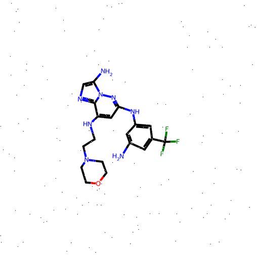 Nc1cc(Nc2cc(NCCN3CCOCC3)c3ncc(N)n3n2)cc(C(F)(F)F)c1